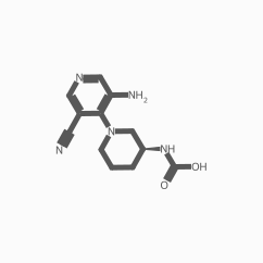 N#Cc1cncc(N)c1N1CCC[C@H](NC(=O)O)C1